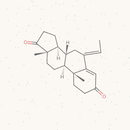 CC=C1C[C@@H]2[C@H](CC[C@]3(C)C(=O)CC[C@@H]23)[C@@]2(C)CCC(=O)C=C12